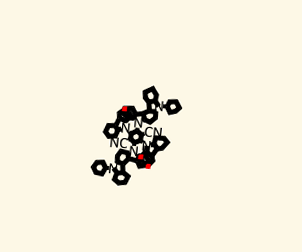 N#Cc1c(-n2c3ccccc3c3ccccc32)c(-n2c3ccccc3c3c4c5ccccc5n(-c5ccccc5)c4ccc32)c(C#N)c(-n2c3ccccc3c3ccccc32)c1-n1c2ccccc2c2c3c4ccccc4n(-c4ccccc4)c3ccc21